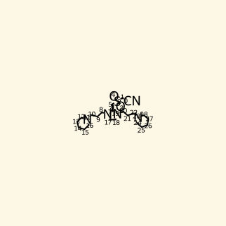 N#CCS(=O)(=O)C=C1N(CCCN2CCCCC2)CCN1CCCN1CCCCC1